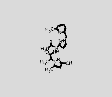 Cc1cccc(Cn2ccc(N(NC(=O)C(C)n3nc(C)cc3C)C(N)=S)n2)n1